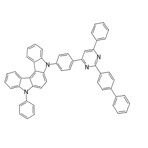 c1ccc(-c2ccc(-c3nc(-c4ccccc4)cc(-c4ccc(-n5c6ccccc6c6c7c8ccccc8n(-c8ccccc8)c7ccc65)cc4)n3)cc2)cc1